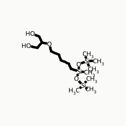 C[Si](C)(C)O[Si](C)(CCCCCOC(CO)CO)O[Si](C)(C)C